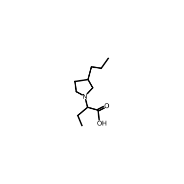 CCCC1CCN(C(CC)C(=O)O)C1